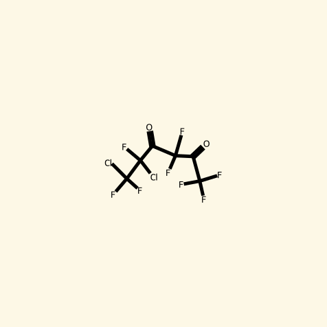 O=C(C(F)(F)F)C(F)(F)C(=O)C(F)(Cl)C(F)(F)Cl